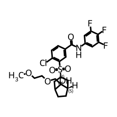 COCCOC[C@@]1(O)C2CC[C@H]1C[C@H](S(=O)(=O)c1cc(C(=O)Nc3cc(F)c(F)c(F)c3)ccc1Cl)C2